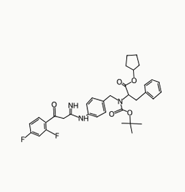 CC(C)(C)OC(=O)N(Cc1ccc(NC(=N)CC(=O)c2ccc(F)cc2F)cc1)C(Cc1ccccc1)C(=O)OC1CCCC1